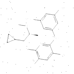 COc1cc(Nc2nc(N[C@H](C3CC3)[C@H](C)NC(=O)O)c(F)cc2C#N)cc(OC)c1